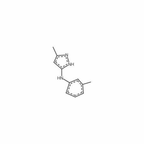 Cc1cccc(Nc2cc(C)n[nH]2)c1